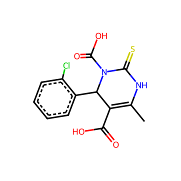 CC1=C(C(=O)O)C(c2ccccc2Cl)N(C(=O)O)C(=S)N1